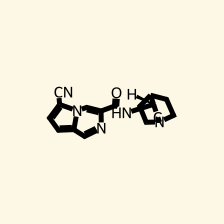 N#Cc1ccc2cnc(C(=O)N[C@H]3CN4CCC3CC4)cn12